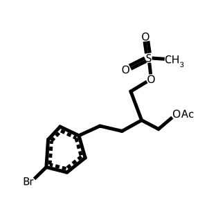 CC(=O)OCC(CCc1ccc(Br)cc1)COS(C)(=O)=O